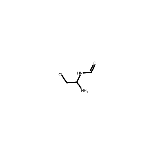 NC(CCl)NC=O